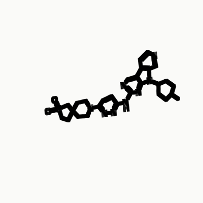 CC1CCC(n2c3cnccc3c3cnc(Nc4ccc(N5CCC6(CC5)CCS(=O)(=O)C6)nn4)nc32)CC1